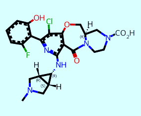 CN1C[C@@H]2[C@H](C1)[C@@H]2Nc1nc(-c2c(O)cccc2F)c(Cl)c2c1C(=O)N1CCN(C(=O)O)C[C@@H]1CO2